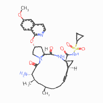 COc1ccc2c(O[C@@H]3C[C@H]4C(=O)N[C@]5(C(=O)NS(=O)(=O)C6CC6)C[C@H]5C=CCC[C@@H](C)C[C@@H](C)[C@H](N)C(=O)N4C3)nccc2c1